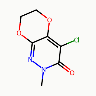 Cn1nc2c(c(Cl)c1=O)OCCO2